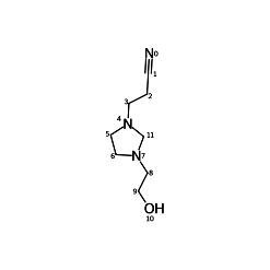 N#CCCN1CCN(CCO)C1